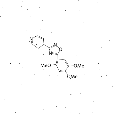 COc1cc(OC)c(-c2nc(C3C=CN=CC3)no2)cc1OC